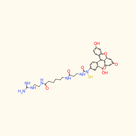 N=C(N)NCCNC(=O)CCCCCNC(=O)CCNC(=O)N(S)c1ccc(-c2c3ccc(=O)cc-3oc3cc(O)ccc23)c(C(=O)O)c1